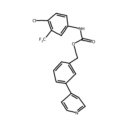 O=C(Nc1ccc(Cl)c(C(F)(F)F)c1)OCc1cccc(-c2ccncc2)c1